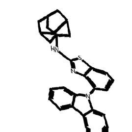 c1cc(-n2c3ccccc3c3ccccc32)c2nc(NC34CC5CC(CC(C5)C3)C4)sc2c1